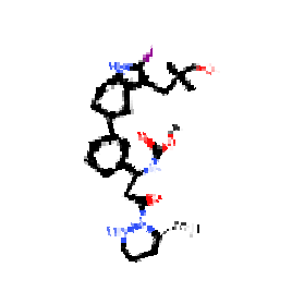 CC(C)(CO)Cc1c(I)[nH]c2ccc(-c3cccc(C(CC(=O)N4NCCC[C@H]4C(=O)O)NC(=O)OC(C)(C)C)c3)cc12